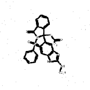 O=C(O)Nc1nc2cc(C3(OC(=O)C(F)(F)F)c4ccccc4C(=O)N3S(=O)(=O)c3ccccc3)ccc2[nH]1